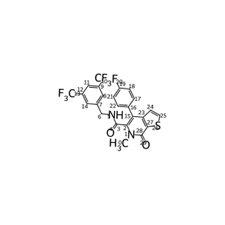 Cn1c(C(=O)NCc2cc(C(F)(F)F)cc(C(F)(F)F)c2)c(-c2ccc(F)cc2)c2ccsc2c1=O